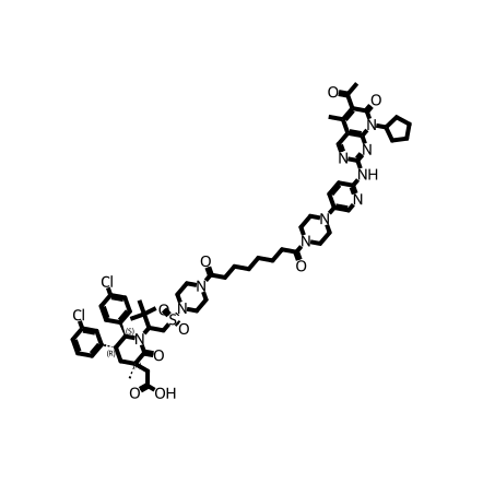 CC(=O)c1c(C)c2cnc(Nc3ccc(N4CCN(C(=O)CCCCCCC(=O)N5CCN(S(=O)(=O)CC(N6C(=O)[C@@](C)(CC(=O)O)C[C@H](c7cccc(Cl)c7)[C@H]6c6ccc(Cl)cc6)C(C)(C)C)CC5)CC4)cn3)nc2n(C2CCCC2)c1=O